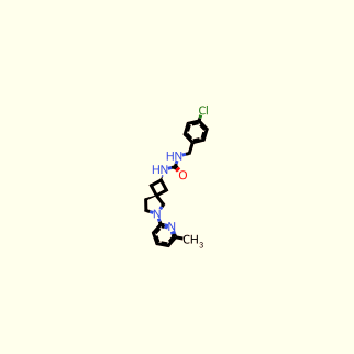 Cc1cccc(N2CC[C@]3(C2)C[C@@H](NC(=O)NCc2ccc(Cl)cc2)C3)n1